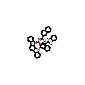 c1ccc(-c2nc(-c3ccc4ccccc4c3)nc(-n3c4ccccc4c4ccc5c6ccccc6n(-c6ccc(-c7nc8ccccc8o7)cc6)c5c43)n2)cc1